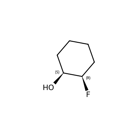 O[C@H]1CCCC[C@H]1F